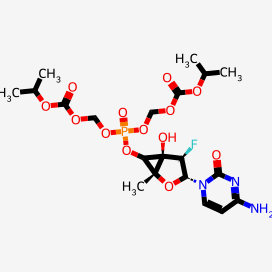 CC(C)OC(=O)OCOP(=O)(OCOC(=O)OC(C)C)OC1[C@@]2(C)O[C@@H](n3ccc(N)nc3=O)[C@H](F)[C@@]12O